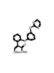 COC=C(C(=O)OC)c1ccccc1Sc1cccc(Oc2ncccn2)c1